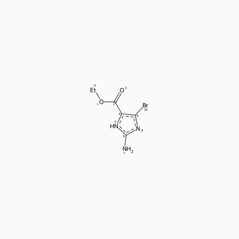 CCOC(=O)c1[nH]c(N)nc1Br